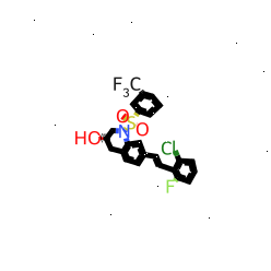 O=S(=O)(c1cccc(C(F)(F)F)c1)N1C[C@H](O)Cc2ccc(C=Cc3c(F)cccc3Cl)cc21